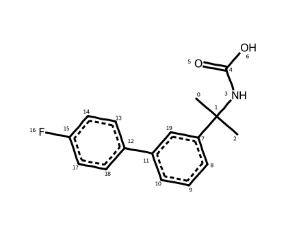 CC(C)(NC(=O)O)c1cccc(-c2ccc(F)cc2)c1